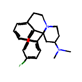 CN(C)C1CCN2CCc3ccccc3C2(c2ccc(F)cc2)C1